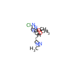 Cc1cnc2cc(CCC3=C[C@@H](n4ccc5c(Cl)ncnc54)[C@@H]4OC(C)(C)O[C@H]34)ccn12